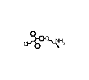 C#CC(N)CCCOc1ccc(C(=C(CCCl)c2ccccc2)c2ccccc2)cc1